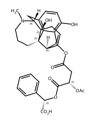 CC(=O)O[C@@H](CC(=O)OC1=CC[C@@]2(O)[C@H]3Cc4ccc(O)c5c4[C@@]2(CCCN3C)[C@H]1O5)C(=O)O[C@H](C(=O)O)c1ccccc1